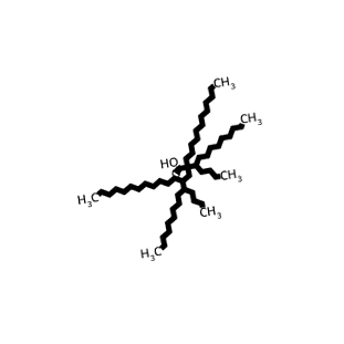 CCCCCCCCCCCCC(CC(CCCCCCCCCCCC)(C(=O)O)C(CCCC)CCCCCCCCC)C(CCCC)CCCCCCCCC